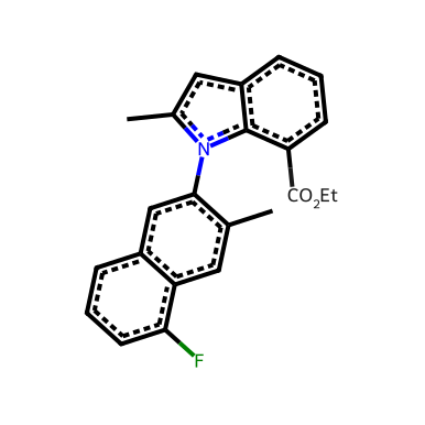 CCOC(=O)c1cccc2cc(C)n(-c3cc4cccc(F)c4cc3C)c12